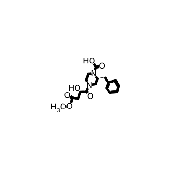 COC(=O)CC(O)C(=O)N1CCN(C(=O)O)[C@H](Cc2ccccc2)C1